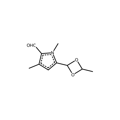 Cc1cc(C2OC(C)O2)n(C)c1C=O